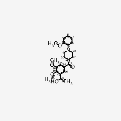 COc1ccccc1N1CCN(C(=O)c2cc(OC)c(OC)c(C(C)O)c2)CC1